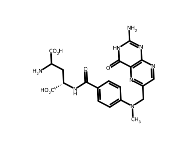 CN(Cc1cnc2nc(N)[nH]c(=O)c2n1)c1ccc(C(=O)N[C@@H](CC(N)C(=O)O)C(=O)O)cc1